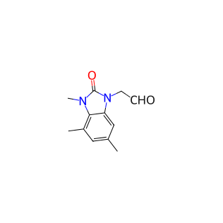 Cc1cc(C)c2c(c1)n(CC=O)c(=O)n2C